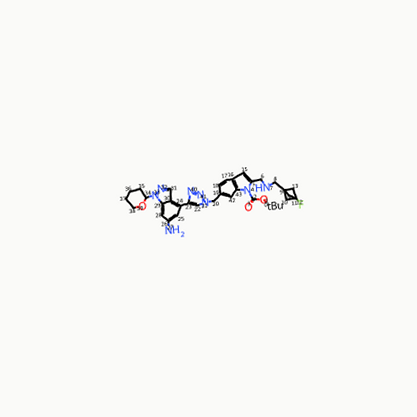 CC(C)(C)OC(=O)n1c(CNCC23CC(F)(C2)C3)cc2ccc(Cn3cc(-c4cc(N)cc5c4cnn5C4CCCCO4)nn3)cc21